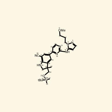 COCCCn1nccc1Nc1nccc(-c2cc(C#N)c3c(c2)C(C)(CO[Si](C)(C)C(C)(C)C)CN3)n1